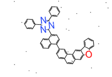 c1ccc(-c2nc(-c3ccccc3)nc(-c3ccc(-c4ccc5ccc6cc7oc8ccccc8c7cc6c5c4)c4ccccc34)n2)cc1